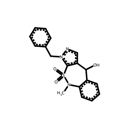 CN1c2ccccc2C(O)c2cnn(Cc3ccccc3)c2S1(=O)=O